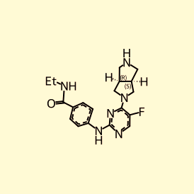 CCNC(=O)c1ccc(Nc2ncc(F)c(N3C[C@H]4CNC[C@H]4C3)n2)cc1